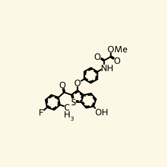 COC(=O)C(=O)Nc1ccc(Oc2c(C(=O)c3ccc(F)cc3C)sc3cc(O)ccc23)cc1